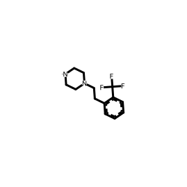 FC(F)(F)c1ccccc1CCN1CC[N]CC1